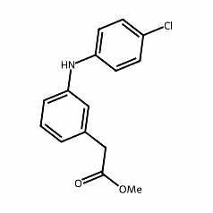 COC(=O)Cc1cccc(Nc2ccc(Cl)cc2)c1